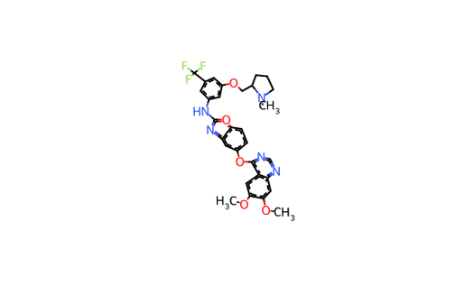 COc1cc2ncnc(Oc3ccc4oc(Nc5cc(OCC6CCCN6C)cc(C(F)(F)F)c5)nc4c3)c2cc1OC